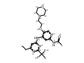 CCc1cc(Nc2cc(NC(C)=O)ncc2OCCN2CCOCC2)nc(C(C)(F)F)n1